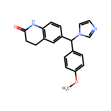 COc1ccc(C(c2ccc3c(c2)CCC(=O)N3)n2ccnc2)cc1